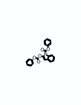 O=C(Oc1ccccc1)Oc1cc2ccccc2n1C(=O)Oc1ccccc1